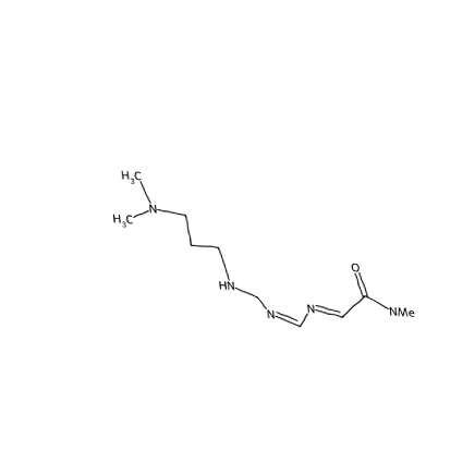 CNC(=O)/C=N/C=N\CNCCCN(C)C